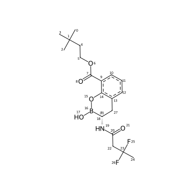 CC(C)(C)CCOC(=O)c1cccc2c1OB(O)[C@@H](NC(=O)CC(C)(F)F)C2